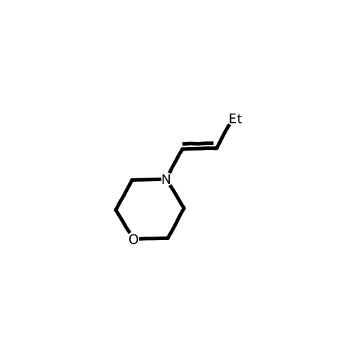 CCC=CN1CCOCC1